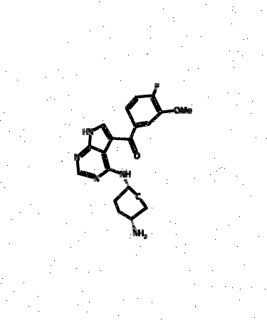 COc1cc(C(=O)c2c[nH]c3ncnc(N[C@H]4CC[C@@H](N)CC4)c23)ccc1F